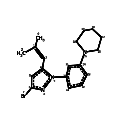 CC(C)=Cc1cc(Br)nn1-c1cccc(N2CCCCC2)c1